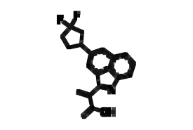 C=C(O)C(=C)C1=Nc2cccc3cc(C4CCC(F)(F)C4)cc1c23